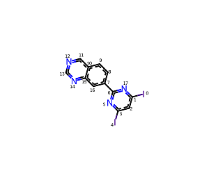 Ic1cc(I)nc(-c2ccc3cncnc3c2)n1